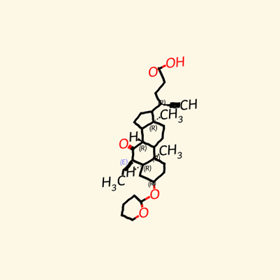 C#C[C@H](CCC(=O)O)C1CCC2[C@H]3C(=O)/C(=C/C)[C@@H]4C[C@H](OC5CCCCO5)CC[C@]4(C)C3CC[C@@]21C